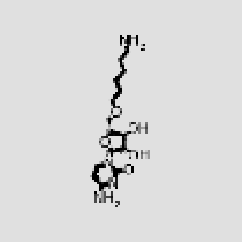 NCCCCCCOC[C@H]1O[C@@H](n2ccc(N)nc2=O)[C@H](O)[C@@H]1O